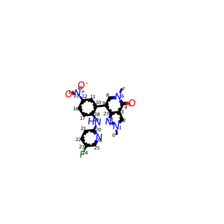 Cn1cc2c(=O)n(C)cc(-c3cc([N+](=O)[O-])ccc3Nc3ccc(F)cn3)c2n1